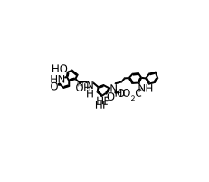 F.F.O=C(O)Nc1cc(CCCn2c(=O)oc3ccc(CNC[C@@H](O)c4ccc(O)c5[nH]c(=O)ccc45)cc32)ccc1-c1ccccc1